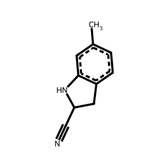 Cc1ccc2c(c1)NC(C#N)C2